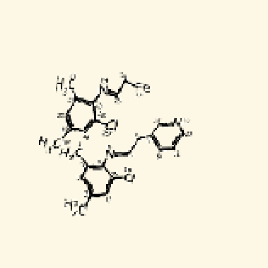 Cc1cc(C)c(N=CCc2cccnc2)c(Cl)c1.Cc1cc(C)c(N=C[CH2][Fe])c(Cl)c1